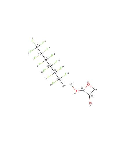 FC(F)(F)C(F)(F)C(F)(F)C(F)(F)C(F)(F)C(F)(F)CCOC1OCC1Br